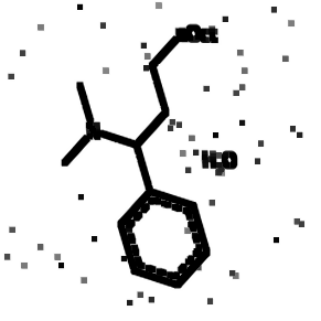 CCCCCCCCCCC(c1ccccc1)N(C)C.O